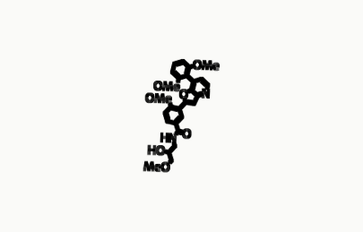 COCC(O)CNC(=O)c1ccc(OC)c(-c2cc3nccc(-c4c(OC)cccc4OC)c3o2)c1